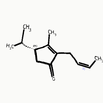 C/C=C\CC1=C(C)[C@@H](C(C)C)CC1=O